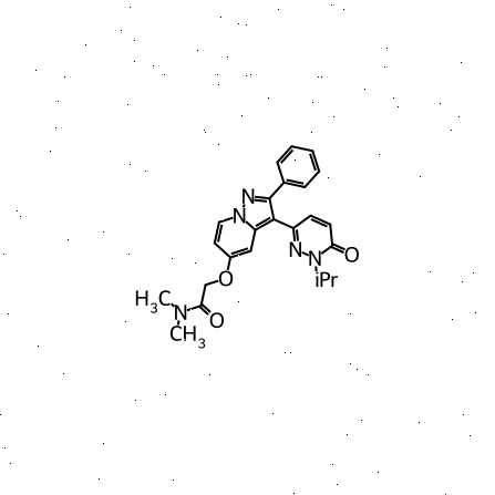 CC(C)n1nc(-c2c(-c3ccccc3)nn3ccc(OCC(=O)N(C)C)cc23)ccc1=O